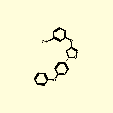 O=Cc1cccc(OC2=NO[C@H](c3ccc(Oc4ccccc4)cc3)C2)c1